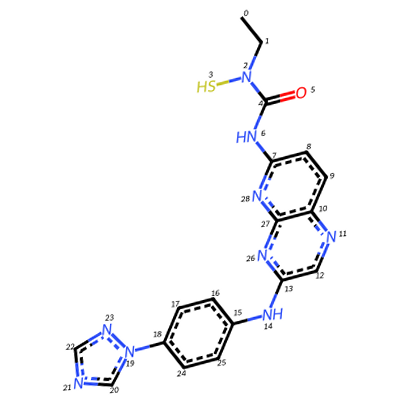 CCN(S)C(=O)Nc1ccc2ncc(Nc3ccc(-n4cncn4)cc3)nc2n1